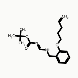 C=CCCCOc1ccccc1CNC=NC(=O)OC(C)(C)C